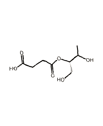 CC(O)[C@H](CO)OC(=O)CCC(=O)O